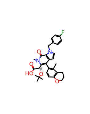 Cc1c(-c2c([C@H](OC(C)(C)C)C(=O)O)n(C)c(=O)c3c2ccn3Cc2ccc(F)cc2)ccc2c1CCCO2